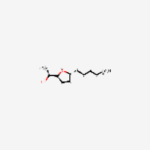 CCCCCCCC[C@H](O)[C@@H]1CC[C@@H](CCCCC(=O)O)O1